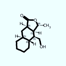 C[C@H]1OC(=O)[C@@H]2C[C@@H]3CCCC[C@H]3[C@H](CO)[C@H]12